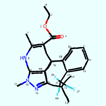 CCOC(=O)C1=C(C)Nc2c(c(C(C)C)nn2C)C1c1ccccc1C(F)(F)F